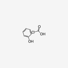 O=C(O)Cl.Oc1ccccc1